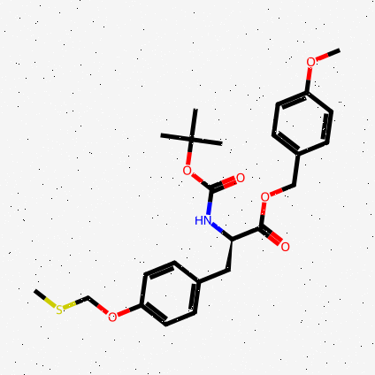 COc1ccc(COC(=O)[C@@H](Cc2ccc(OCSC)cc2)NC(=O)OC(C)(C)C)cc1